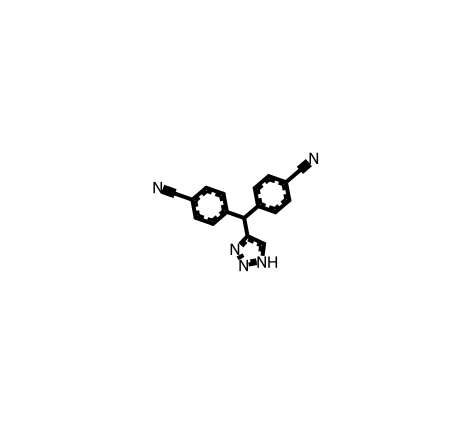 N#Cc1ccc(C(c2ccc(C#N)cc2)c2c[nH]nn2)cc1